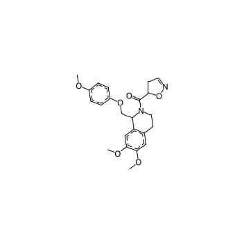 COc1ccc(OCC2c3cc(OC)c(OC)cc3CCN2C(=O)C2CC=NO2)cc1